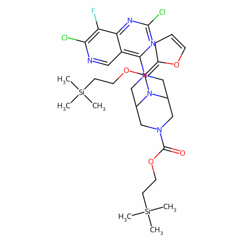 C[Si](C)(C)CCOC(=O)N1CC2CN(c3nc(Cl)nc4c(F)c(Cl)ncc34)CC(C1)N2C(OCC[Si](C)(C)C)=C1CC=CO1